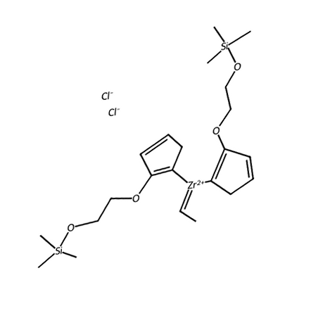 C[CH]=[Zr+2]([C]1=C(OCCO[Si](C)(C)C)C=CC1)[C]1=C(OCCO[Si](C)(C)C)C=CC1.[Cl-].[Cl-]